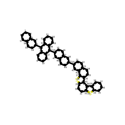 c1ccc2cc(-c3c4ccccc4c(-c4ccc5cc(-c6ccc7ccc8c(sc9ccc%10sc%11ccccc%11c%10c98)c7c6)ccc5c4)c4ccccc34)ccc2c1